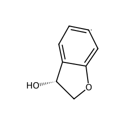 O[C@H]1COc2c[c]ccc21